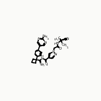 CC(C)(C#N)NC(=O)Cn1cc(C(=O)NC(=N)C2(c3ccc(-c4cnc(N)nc4)cc3)CCC2)cn1